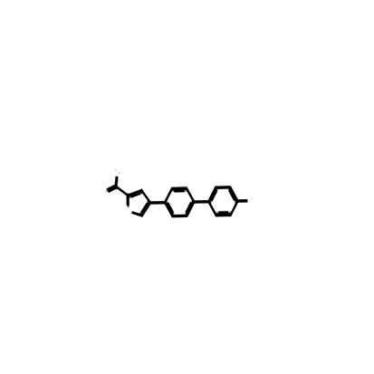 CC(=O)c1ccc(-c2ccc(-c3csc(C([NH])=O)c3)cc2)cc1